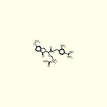 CC(=O)O.CCOC(C(=O)NCc1ccc(C(=N)N)cc1N)N1Cc2cc(OC)ccc2C1=O